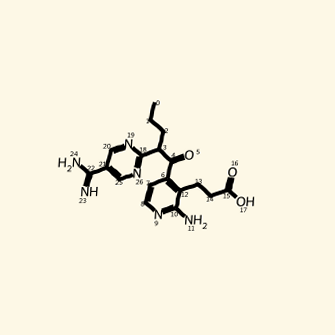 CCCC(C(=O)c1ccnc(N)c1CCC(=O)O)c1ncc(C(=N)N)cn1